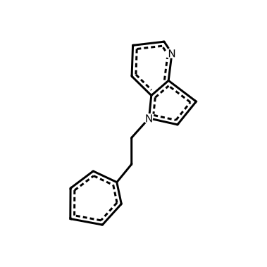 c1ccc(CCn2ccc3ncccc32)cc1